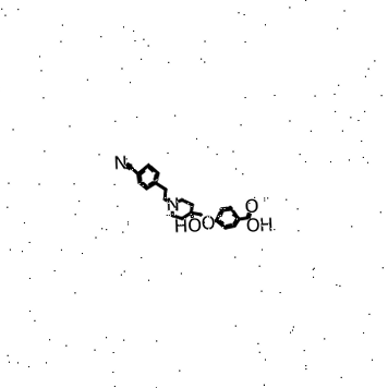 N#Cc1ccc(CCN2CCC(O)(COc3ccc(C(=O)O)cc3)CC2)cc1